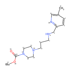 Cc1ccc(CNCCCN2CCN(C(=O)OC(C)(C)C)CC2)nc1